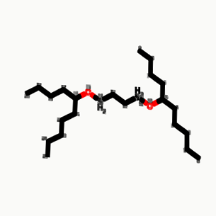 CCCCCC(CCCC)O[SiH2]CC[SiH2]OC(CCCC)CCCCC